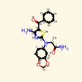 C[C@H](C(N)=O)N(c1ccc2c(c1)OCO2)c1nc(N)c(C(=O)c2ccccc2)s1